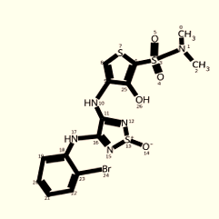 CN(C)S(=O)(=O)c1scc(Nc2n[s+]([O-])nc2Nc2ccccc2Br)c1O